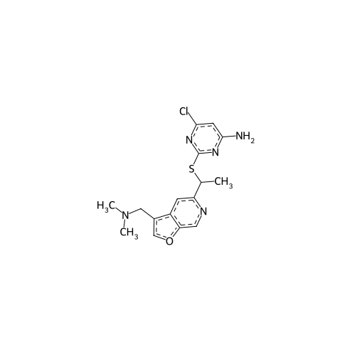 CC(Sc1nc(N)cc(Cl)n1)c1cc2c(CN(C)C)coc2cn1